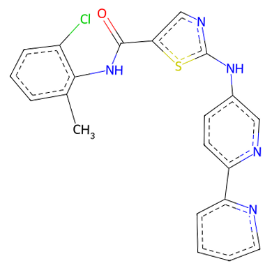 Cc1cccc(Cl)c1NC(=O)c1cnc(Nc2ccc(-c3ccccn3)nc2)s1